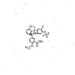 COc1ccc(C(=O)N[C@]2(c3ccc(OC(F)(F)F)c(F)c3)CCOc3cccnc32)cc1C(=O)O